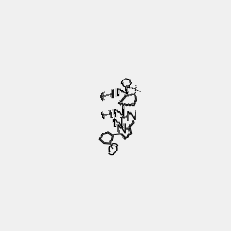 COc1ccccc1-c1ccc2cnc(Nc3ccc4c(c3)NC(=O)C4(C)C)nn12